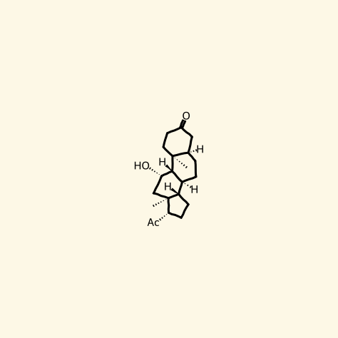 CC(=O)[C@H]1CC[C@H]2[C@@H]3CC[C@@H]4CC(=O)CC[C@]4(C)[C@H]3[C@@H](O)C[C@]12C